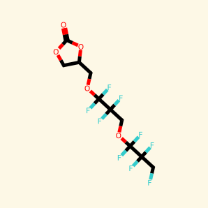 O=C1OCC(COC(F)(F)C(F)(F)COC(F)(F)C(F)(F)CF)O1